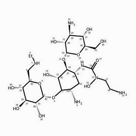 CCNC[C@H]1O[C@H](OC2[C@@H](N)C[C@@H](NC(=O)N(O)CCN)[C@H](O[C@H]3O[C@H](CO)[C@@H](O)[C@H](N)[C@H]3O)[C@H]2O)[C@H](O)[C@@H](O)[C@@H]1O